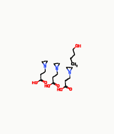 CCCCO.O=C(O)CCN1CC1.O=C(O)CCN1CC1.O=C(O)CCN1CC1